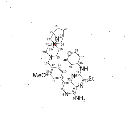 CCc1nc2c(N)ncc(-c3ccc(CN4CCC(N5C6CCC5CN(C)C6)CC4)c(OC)c3)c2nc1NC1CCOCC1